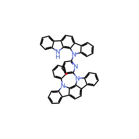 c1ccc(-n2c3ccccc3c3ccc4c5ccccc5n(-c5cccc(-n6c7ccccc7c7ccc8c9ccccc9[nH]c8c76)n5)c4c32)cc1